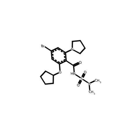 CN(C)S(=O)(=O)NC(=O)c1c(OC2CCCC2)cc(Br)cc1N1CCCC1